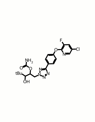 CC(C)(C)C(O)C(Cn1nnc(-c2ccc(Oc3ncc(Cl)cc3F)cc2)n1)OC(N)=O